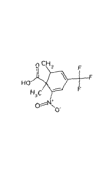 CC1C=C(C(F)(F)F)C=C([N+](=O)[O-])C1(C)C(=O)O